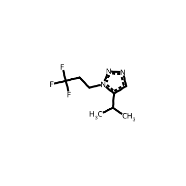 CC(C)c1cnnn1CCC(F)(F)F